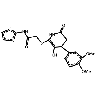 COc1ccc(C2CC(=O)NC(SCC(=O)Nc3nccs3)=C2C#N)cc1OC